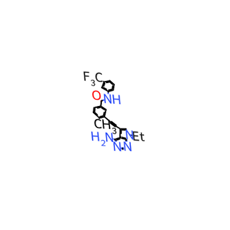 CCn1cc(C#Cc2cc(C(=O)Nc3cccc(C(F)(F)F)c3)ccc2C)c2c(N)ncnc21